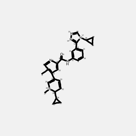 Cc1cnc(C(=O)Nc2cccc(-c3nncn3C3CC3)c2)cc1C1=CN(C)C(C2CC2)C=C1